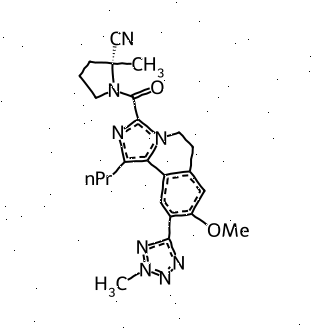 CCCc1nc(C(=O)N2CCC[C@]2(C)C#N)n2c1-c1cc(-c3nnn(C)n3)c(OC)cc1CC2